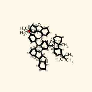 CC(C)(C)c1ccc2c(c1)N(c1cccc3oc4ccccc4c13)c1cc(N3c4ccc(C(C)(C)C)cc4C4(C)CCCCC34C)cc3c1B2c1cccc2c4c5ccccc5sc4n-3c12